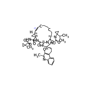 Cc1nc2ccccc2c2c1O[C@]1(CC2)C[C@H]2C(=O)N[C@]3(C(=O)NS(=O)(=O)C4(C)CC4)C[C@H]3/C=C\CCCCC[C@H](N(C(=O)O)C3(C(C)C)CC3)C(=O)N2C1